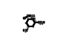 CCOC(=O)Cl.C[C@@H]1CCN[C@@H](C(=O)O)C1